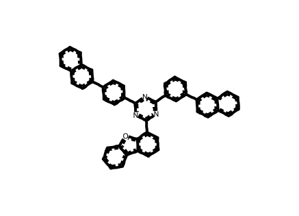 c1cc(-c2ccc3ccccc3c2)cc(-c2nc(-c3ccc(-c4ccc5ccccc5c4)cc3)nc(-c3cccc4c3oc3ccccc34)n2)c1